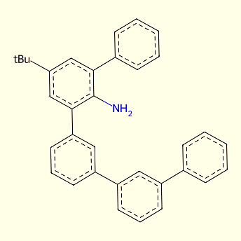 CC(C)(C)c1cc(-c2ccccc2)c(N)c(-c2cccc(-c3cccc(-c4ccccc4)c3)c2)c1